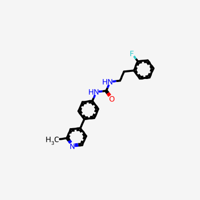 Cc1cc(-c2ccc(NC(=O)NCCc3ccccc3F)cc2)ccn1